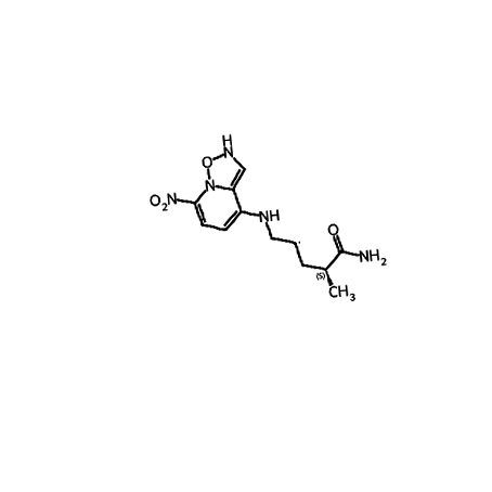 C[C@@H](C[CH]CNC1=CC=C([N+](=O)[O-])N2ONC=C12)C(N)=O